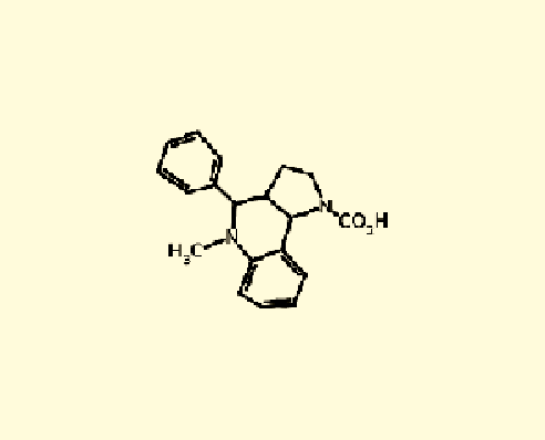 CN1c2ccccc2C2C(CCN2C(=O)O)C1c1ccccc1